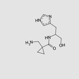 NCC1(C(=O)NC(CO)Cc2c[nH]cn2)CC1